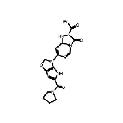 CC(C)C(=O)N1NC2C=C(N3COc4cc(C(=O)N5CCCC5)[nH]c43)C=CN2C1=O